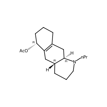 CCCN1CCC[C@@H]2CC3=C(CCC[C@H]3OC(C)=O)C[C@H]21